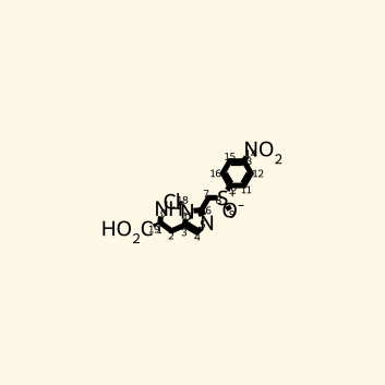 N[C@@H](Cc1cnc(C[S+]([O-])c2ccc([N+](=O)[O-])cc2)n1Cl)C(=O)O